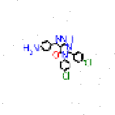 Nc1ccc(-c2n[nH]c3nc(-c4ccc(Cl)cc4)n(-c4ccc(Cl)cc4)c(=O)c23)cc1